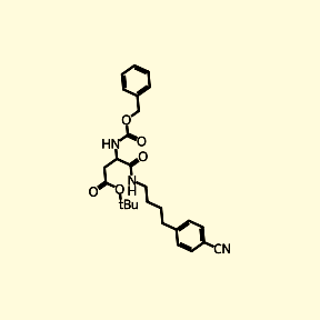 CC(C)(C)OC(=O)CC(NC(=O)OCc1ccccc1)C(=O)NCCCCc1ccc(C#N)cc1